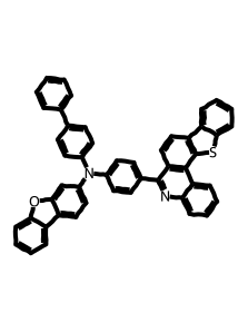 c1ccc(-c2ccc(N(c3ccc(-c4nc5ccccc5c5c4ccc4c6ccccc6sc45)cc3)c3ccc4c(c3)oc3ccccc34)cc2)cc1